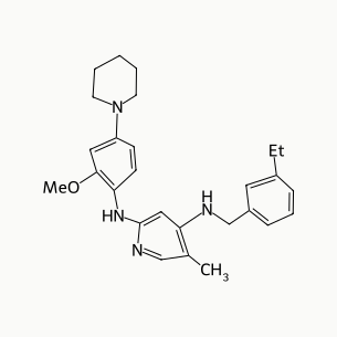 CCc1cccc(CNc2cc(Nc3ccc(N4CCCCC4)cc3OC)ncc2C)c1